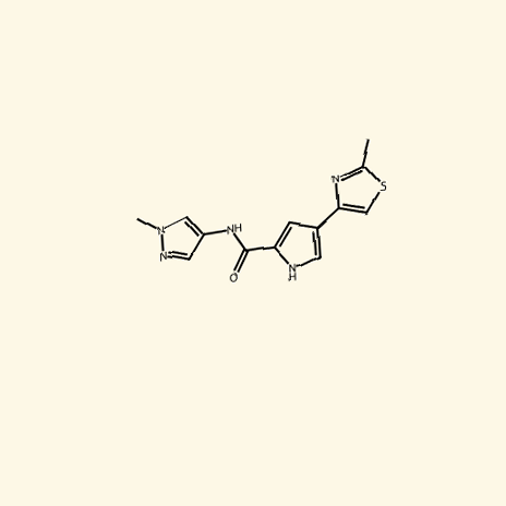 Cc1nc(-c2c[nH]c(C(=O)Nc3cnn(C)c3)c2)cs1